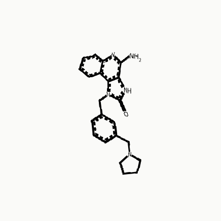 Nc1nc2ccccc2c2c1[nH]c(=O)n2Cc1cccc(CN2CCCC2)c1